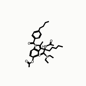 CCCCCC(NC(C)=O)(C(=O)N(CC)CC)c1c(C)n(C(=O)c2ccc(CCCC)cc2)c2ccc(OC(C)=O)cc12